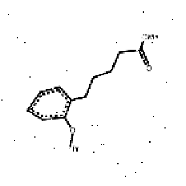 CCCOc1ccccc1CCCCC(=O)OC